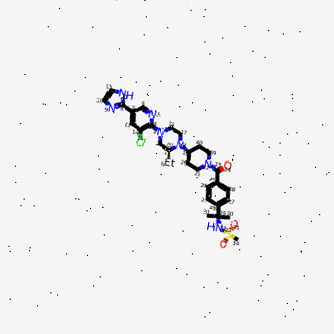 CC[C@H]1CN(c2ncc(-c3ncc[nH]3)cc2Cl)CCN1C1CCN(C(=O)c2ccc(C(C)(C)NS(C)(=O)=O)cc2)CC1